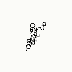 Cc1ccc(S(=O)(=O)NC[C@@H](O)C[C@@H](Cc2ccccc2)C(=O)NCCc2cccc(Cl)c2)cc1